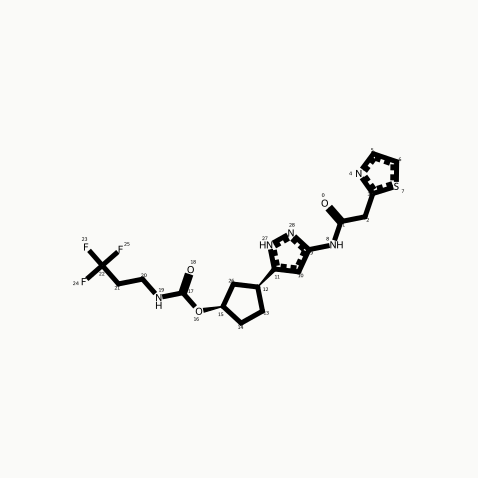 O=C(Cc1nccs1)Nc1cc([C@H]2CC[C@@H](OC(=O)NCCC(F)(F)F)C2)[nH]n1